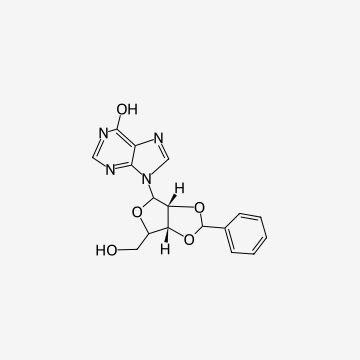 OCC1OC(n2cnc3c(O)ncnc32)[C@@H]2OC(c3ccccc3)O[C@H]12